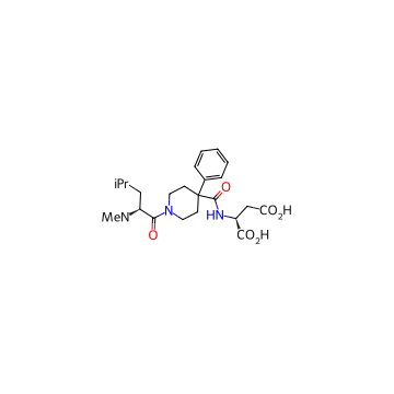 CN[C@@H](CC(C)C)C(=O)N1CCC(C(=O)N[C@@H](CC(=O)O)C(=O)O)(c2ccccc2)CC1